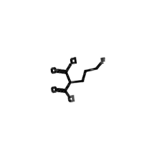 O=C(Cl)C(CCCF)C(=O)Cl